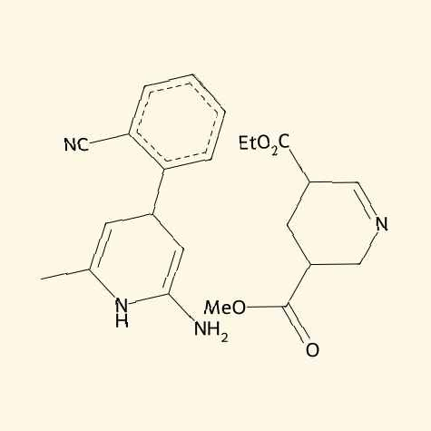 CC1=CC(c2ccccc2C#N)C=C(N)N1.CCOC(=O)C1C=NCC(C(=O)OC)C1